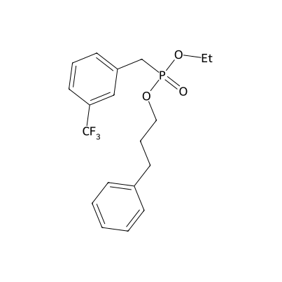 CCOP(=O)(Cc1cccc(C(F)(F)F)c1)OCCCc1ccccc1